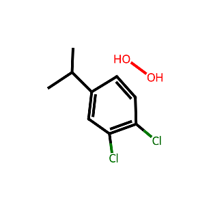 CC(C)c1ccc(Cl)c(Cl)c1.OO